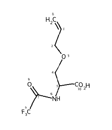 C=CCOCC(NC(=O)C(F)(F)F)C(=O)O